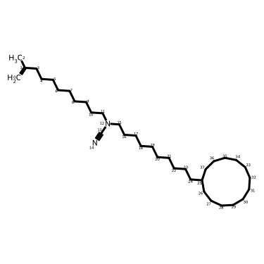 C=C(C)CCCCCCCCCN(C#N)CCCCCCCCCCC1CCCCCCCCCCCC1